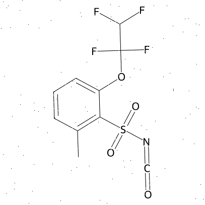 Cc1cccc(OC(F)(F)C(F)F)c1S(=O)(=O)N=C=O